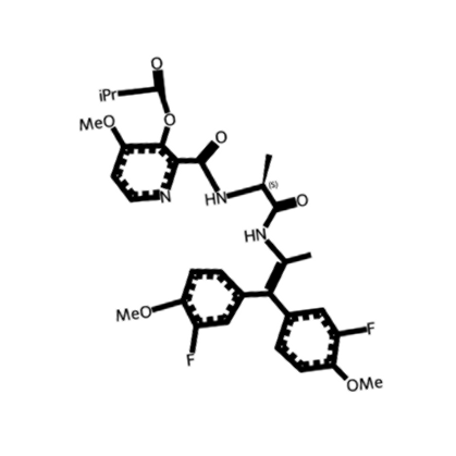 COc1ccc(C(=C(C)NC(=O)[C@H](C)NC(=O)c2nccc(OC)c2OC(=O)C(C)C)c2ccc(OC)c(F)c2)cc1F